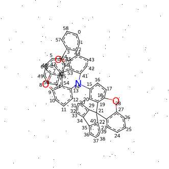 c1ccc(-c2ccc3oc4cccc(N(c5ccc6c(c5)C5(c7ccccc7O6)c6ccccc6-c6ccccc65)c5cccc6oc7ccccc7c56)c4c3c2)cc1